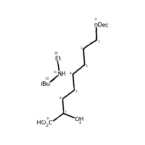 CCCCCCCCCCCCCCCCC(O)C(=O)O.CCNC(C)CC